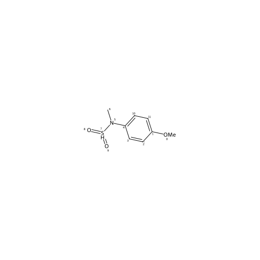 COc1[c]cc(N(C)[SH](=O)=O)cc1